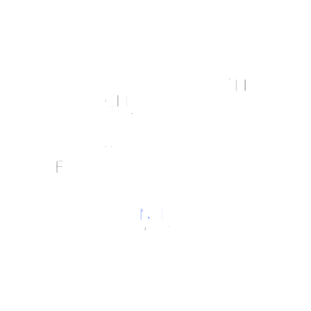 C=C/C=C(/N)C(=C)CC